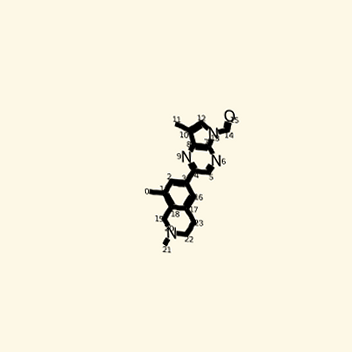 Cc1cc(-c2cnc3c(n2)c(C)cn3C=O)cc2c1CN(C)CC2